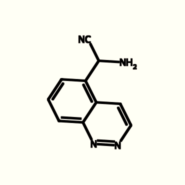 N#CC(N)c1cccc2nnccc12